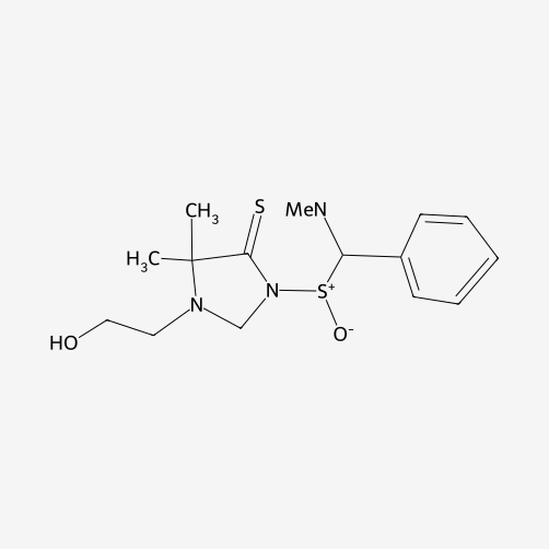 CNC(c1ccccc1)[S+]([O-])N1CN(CCO)C(C)(C)C1=S